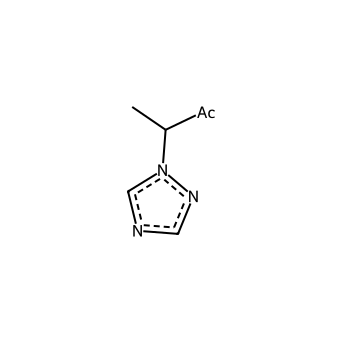 CC(=O)C(C)n1cncn1